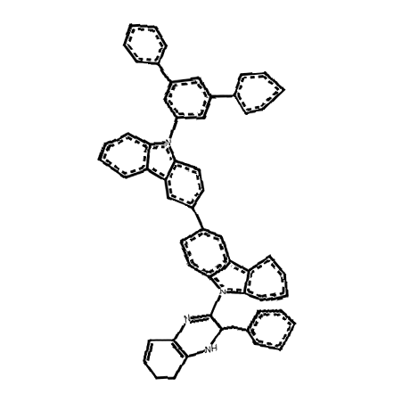 C1=CC2=C(CC1)NC(c1ccccc1)C(n1c3ccccc3c3cc(-c4ccc5c(c4)c4ccccc4n5-c4cc(-c5ccccc5)cc(-c5ccccc5)c4)ccc31)=N2